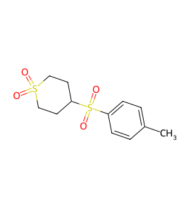 Cc1ccc(S(=O)(=O)C2CCS(=O)(=O)CC2)cc1